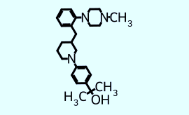 CN1CCN(c2ccccc2CC2CCCN(c3ccc(C(C)(C)O)cc3)C2)CC1